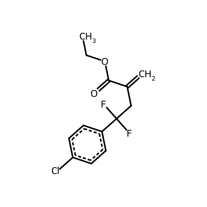 C=C(CC(F)(F)c1ccc(Cl)cc1)C(=O)OCC